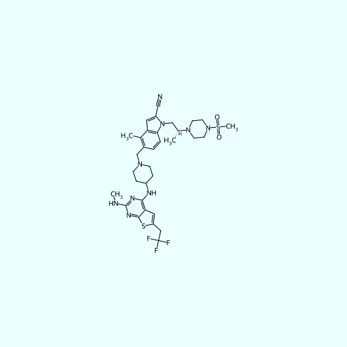 CNc1nc(NC2CCN(Cc3ccc4c(cc(C#N)n4C[C@@H](C)N4CCN(S(C)(=O)=O)CC4)c3C)CC2)c2cc(CC(F)(F)F)sc2n1